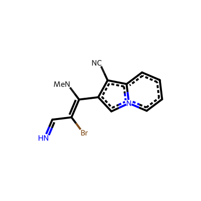 CN/C(=C(/Br)C=N)c1cn2ccccc2c1C#N